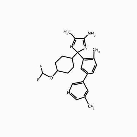 CC1=NC(c2cc(-c3cncc(C(F)(F)F)c3)ccc2C)(C2CCC(OC(F)F)CC2)N=C1N